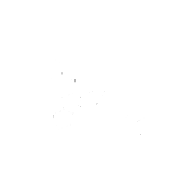 COc1ccc(CCCO)c(Nc2nc3ccccc3nc2NS(=O)(=O)C2CCN(C(=O)O)CC2)c1